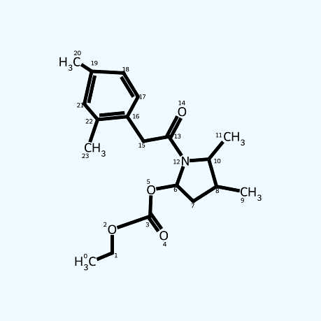 CCOC(=O)OC1CC(C)C(C)N1C(=O)Cc1ccc(C)cc1C